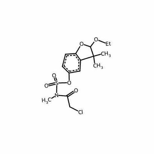 CCOC1Oc2ccc(OS(=O)(=O)N(C)C(=O)CCl)cc2C1(C)C